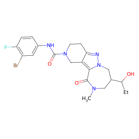 CCC(O)C1CN(C)C(=O)c2c3c(nn2C1)CCN(C(=O)Nc1ccc(F)c(Br)c1)C3